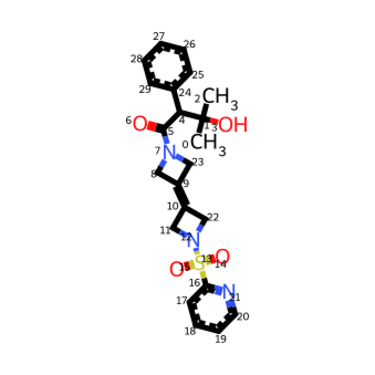 CC(C)(O)C(C(=O)N1CC(=C2CN(S(=O)(=O)c3ccccn3)C2)C1)c1ccccc1